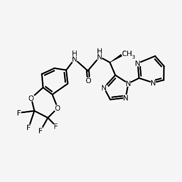 C[C@H](NC(=O)Nc1ccc2c(c1)OC(F)(F)C(F)(F)O2)c1ncnn1-c1ncccn1